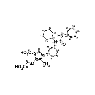 Cc1c(-c2cccc(N(C(=O)Nc3ccccc3)C3CCCCC3)c2)sc(C(=O)O)c1OCC(=O)O